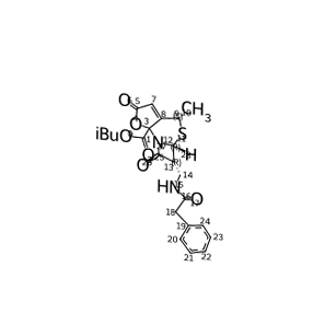 CC(C)COC(=O)C12OC(=O)C=C1[C@H](C)S[C@@H]1[C@H](CNC(=O)Cc3ccccc3)C(=O)N12